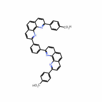 O=C(O)c1ccc(-c2ccc3ccc4ccc(-c5cccc(-c6ccc7ccc8ccc(-c9ccc(C(=O)O)cc9)nc8c7n6)c5)nc4c3n2)cc1